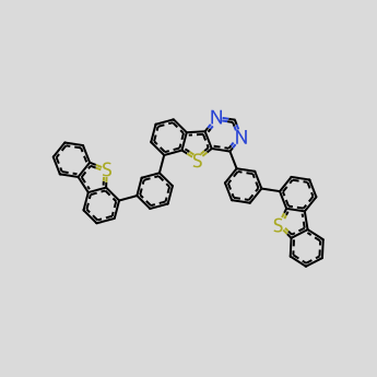 c1cc(-c2cccc3c2sc2ccccc23)cc(-c2cccc3c2sc2c(-c4cccc(-c5cccc6c5sc5ccccc56)c4)ncnc23)c1